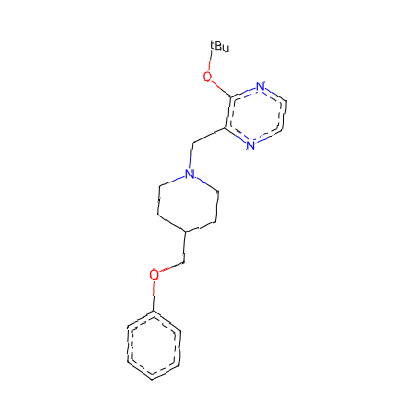 CC(C)(C)Oc1nccnc1CN1CCC(COc2ccccc2)CC1